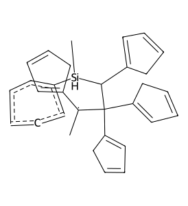 C[C](C1=CC=CC1)C(C1=CC=CC1)(C1=CC=CC1)C(C1=CC=CC1)[SiH](C)c1ccccc1